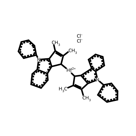 CC1=C(C)[CH]([Hf+2][CH]2C(C)=C(C)c3c2c2ccccc2n3-c2ccccc2)c2c1n(-c1ccccc1)c1ccccc21.[Cl-].[Cl-]